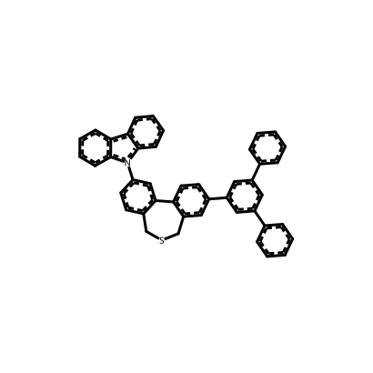 c1ccc(-c2cc(-c3ccccc3)cc(-c3ccc4c(c3)CSCc3ccc(-n5c6ccccc6c6ccccc65)cc3-4)c2)cc1